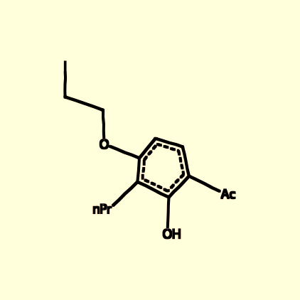 CCCc1c(OCCI)ccc(C(C)=O)c1O